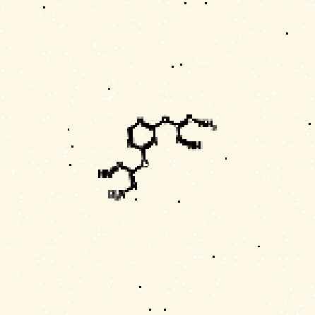 N=NC(=NN)Oc1ncnc(OC(N=N)=NN)n1